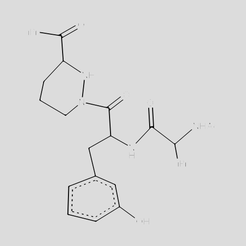 CC(=O)NC(C(=O)NC(Cc1cccc(O)c1)C(=O)N1CCCC(C(=O)C(C)C)N1)C(C)C